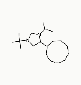 CC(C)N1CN(C(C)(C)C)CC1C1CCCCCCCC1